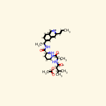 C/C=C/c1cc2cc([C@@H](C)NC(=O)[C@@H]3CCCN(C(=O)[C@H](C)NC(=O)[C@@H](OC(C)=O)C(C)C)N3)ccc2cn1